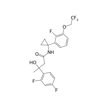 CC(O)(CC(=O)NC1(c2cccc(OCC(F)(F)F)c2F)CC1)c1ccc(F)cc1F